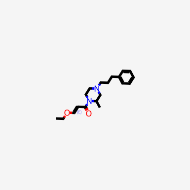 CCO/C=C/C(=O)N1CCN(CCCc2ccccc2)CC1C